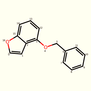 [c]1cc2c(OCc3ccccc3)cccc2o1